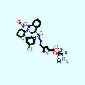 CC(C)(C)OC(=O)c1cc(CCNC(=O)[C@@H]2c3ccccc3C(=O)N([C@H]3CCCC[C@@H]3N=O)[C@H]2c2ccc(Cl)cc2Cl)cs1